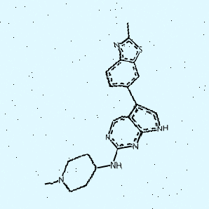 Cc1nc2ccc(-c3c[nH]c4nc(NC5CCN(C)CC5)ncc34)cc2s1